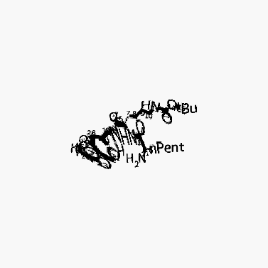 CCCCC[C@H](N)C(=O)N[C@@H](CCCCNC(=O)OC(C)(C)C)C(=O)NCC1OC2OCCCOC1C(O)C2O